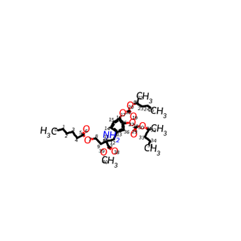 CCCCCC(=O)OCC[C@@](N)(Cc1ccc(OC(=O)O[C@@H](C)CCC)c(OC(=O)OC(C)CCC)c1)C(=O)OC